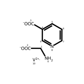 NCC(=O)[O-].O=C([O-])c1cccnc1.[V+2]